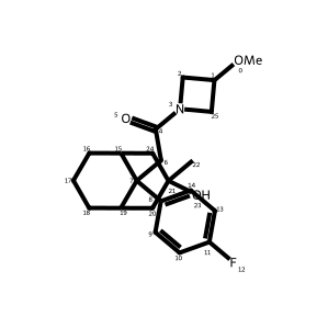 COC1CN(C(=O)CC2(c3ccc(F)cc3)C3CCCC2CC(C)(O)C3)C1